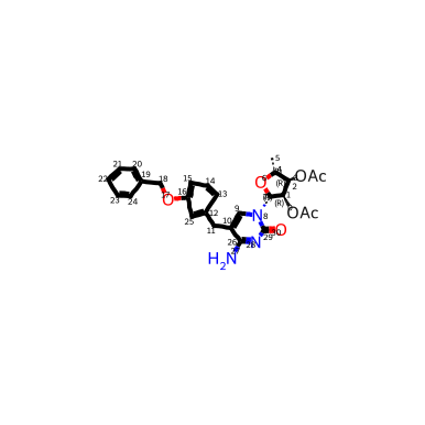 CC(=O)O[C@@H]1[C@H](OC(C)=O)[C@@H](C)O[C@H]1n1cc(Cc2cccc(OCc3ccccc3)c2)c(N)nc1=O